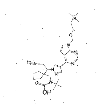 CC(C)(C)N(CC1(C(CC#N)n2cc(-c3ncnc4c3ccn4COCC[Si](C)(C)C)cn2)CCCC1)C(=O)O